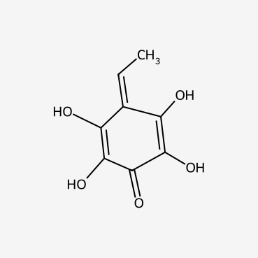 CC=C1C(O)=C(O)C(=O)C(O)=C1O